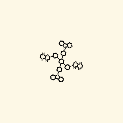 c1cc(-c2cnc3nccnc3n2)cc(-c2cc(-c3ccc(-n4c5ccccc5c5ccccc54)cc3)c(-c3cccc(-c4cnc5nccnc5n4)c3)cc2-c2ccc(-n3c4ccccc4c4ccccc43)cc2)c1